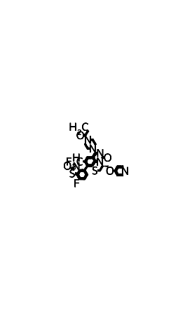 C=CC(=O)N1CCN(c2nc(=O)n3c4c(c(-c5ccc(F)c6sc(=O)[nH]c56)c(C(F)(F)F)cc24)SC[C@@H]3COc2ccncc2)CC1